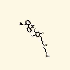 OCCCCNCCCCc1cc(Cl)c(COC2(c3cnccc3-c3ccccc3OC3CC3)CC2)cc1Cl